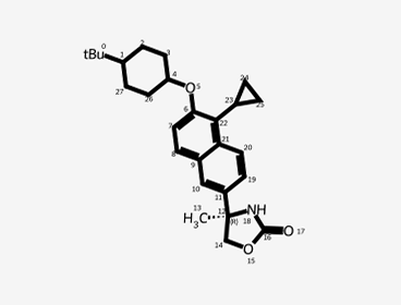 CC(C)(C)C1CCC(Oc2ccc3cc([C@]4(C)COC(=O)N4)ccc3c2C2CC2)CC1